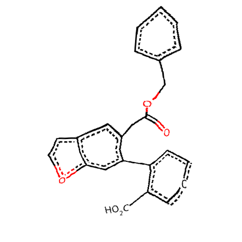 O=C(O)c1ccccc1-c1cc2occc2cc1C(=O)OCc1ccccc1